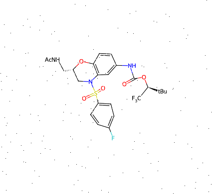 CC(=O)NC[C@H]1CN(S(=O)(=O)c2ccc(F)cc2)c2cc(NC(=O)O[C@@H](C(C)(C)C)C(F)(F)F)ccc2O1